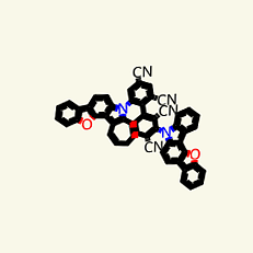 N#CC1=C(n2c3ccccc3c3c4oc5ccccc5c4ccc32)C(C#N)=C(c2c(C#N)cc(C#N)cc2-n2c3c(c4c5oc6ccccc6c5ccc42)C=CCC#C3)CC1